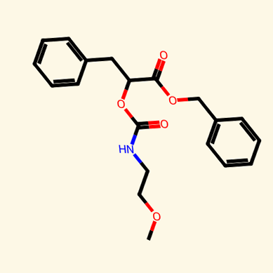 COCCNC(=O)OC(Cc1ccccc1)C(=O)OCc1ccccc1